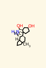 C[C@@]12CCC[C@H]1[C@H](CN)[C@@H]([C@@]1(C)CC[C@H](O)C[C@@H]1CO)CC2